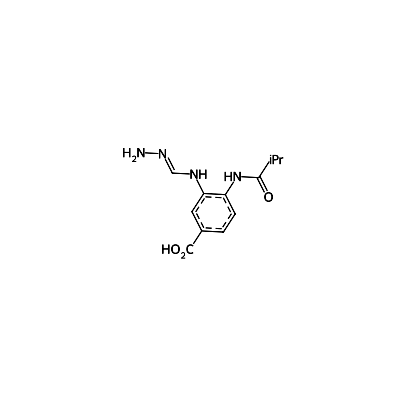 CC(C)C(=O)Nc1ccc(C(=O)O)cc1NC=NN